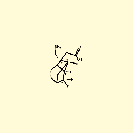 NC[C@@]1(CC(=O)O)C2CCC3C[C@H]1[C@H]2[C@H]3F